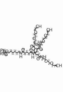 C#CCOCCOCCNC(=O)CCC(CCC(=O)NCCOCCOCC#C)(CCC(=O)NCCOCCOCC#C)NC(=O)CCCC(=O)NCCCCCCOP(=O)(O)C(C)C